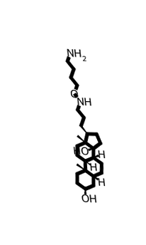 C[C@]12CC[C@H](O)C[C@H]1CC[C@@H]1[C@@H]2CC[C@]2(C)[C@@H](CCCNOCCCCN)CC[C@]12O